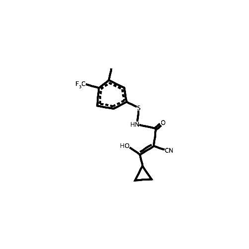 Cc1cc(SNC(=O)C(C#N)=C(O)C2CC2)ccc1C(F)(F)F